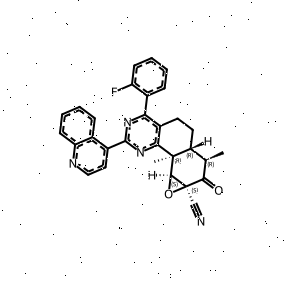 C[C@H]1C(=O)[C@@]2(C#N)O[C@H]2[C@@]2(C)c3nc(-c4ccnc5ccccc45)nc(-c4ccccc4F)c3CC[C@H]12